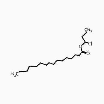 CCCCCCCCCCCCCCCC(=O)OC(Cl)CCC